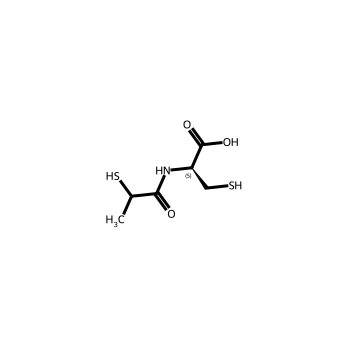 CC(S)C(=O)N[C@H](CS)C(=O)O